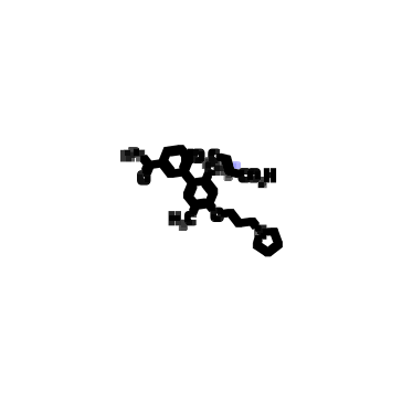 CCCC(=O)c1cccc(-c2cc(C)c(OCCCN3CCCC3)cc2C)c1.O=C(O)/C=C/C(=O)O